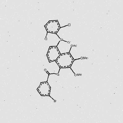 COc1c(OC)c(OC(C)=O)c2c([S+]([O-])c3c(Cl)cccc3Cl)cccc2c1OC(=O)c1cccc(Br)c1